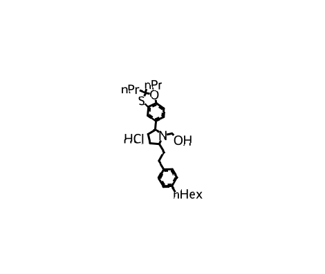 CCCCCCc1ccc(CCC2CCC(c3ccc4c(c3)SC(CCC)(CCC)O4)N2CO)cc1.Cl